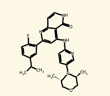 CC(C)c1ccc(F)c(-c2cc(Nc3ccc(N4[C@@H](C)COC[C@@H]4C)cn3)c3c(=O)[nH]ccc3n2)c1